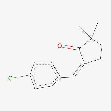 CC1(C)CC/C(=C/c2ccc(Cl)cc2)C1=O